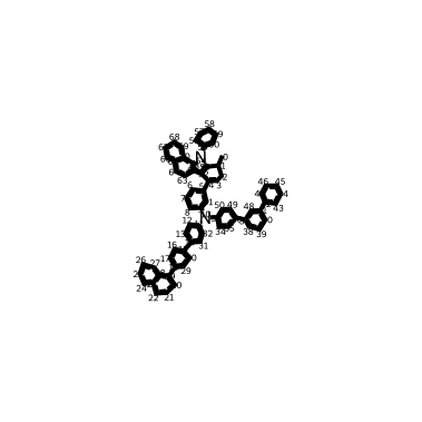 CC1CC=C(c2cccc(N(c3ccc(-c4ccc(-c5cccc6ccccc56)cc4)cc3)c3ccc(-c4cccc(-c5ccccc5)c4)cc3)c2)c2c1n(-c1ccccc1)c1c2ccc2ccccc21